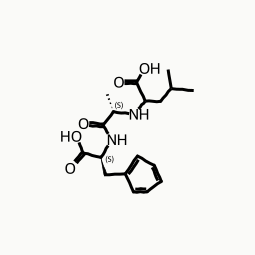 CC(C)CC(N[C@@H](C)C(=O)N[C@@H](Cc1ccccc1)C(=O)O)C(=O)O